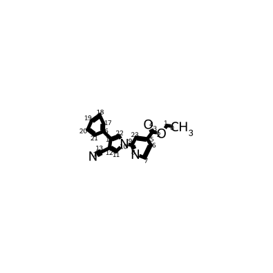 CCOC(=O)c1ccnc(-n2cc(C#N)c(-c3ccccc3)c2)c1